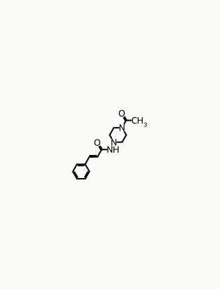 CC(=O)N1CCN(NC(=O)C=Cc2ccccc2)CC1